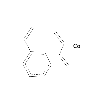 C=CC=C.C=Cc1ccccc1.[Co]